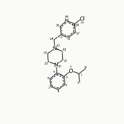 CC(C)Oc1ccccc1N1CCN(Cc2ccc(Cl)nc2)CC1